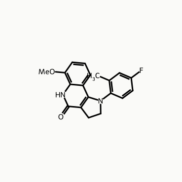 COc1cccc2c3c(c(=O)[nH]c12)CCN3c1ccc(F)cc1C